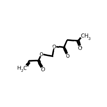 C=CC(=O)OCOC(=O)CC(C)=O